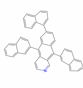 c1ccc2cc(-c3c4ccc(-c5cccc6ccccc56)cc4c(-c4ccc5ccccc5c4)c4ccncc34)ccc2c1